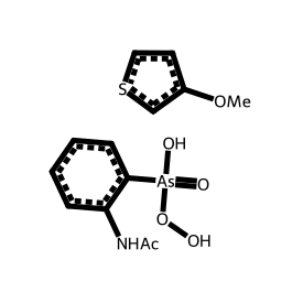 CC(=O)Nc1ccccc1[As](=O)(O)OO.COc1ccsc1